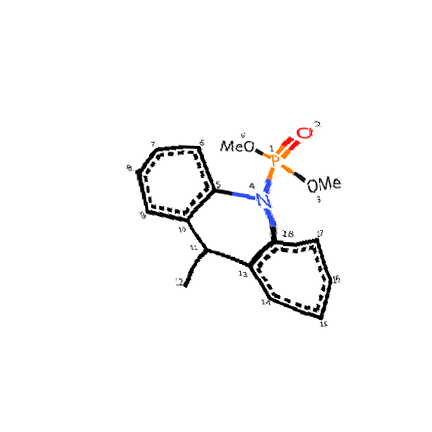 COP(=O)(OC)N1c2ccccc2C(C)c2ccccc21